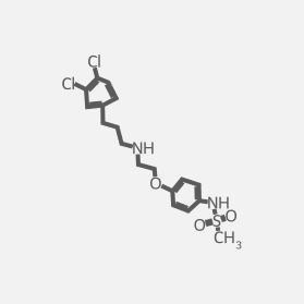 CS(=O)(=O)Nc1ccc(OCCNCCCc2ccc(Cl)c(Cl)c2)cc1